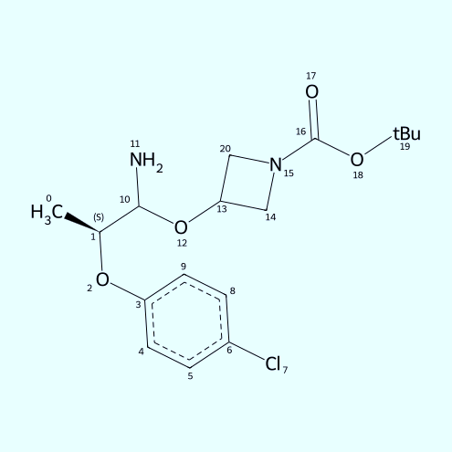 C[C@H](Oc1ccc(Cl)cc1)C(N)OC1CN(C(=O)OC(C)(C)C)C1